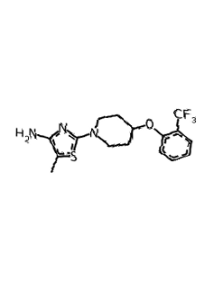 Cc1sc(N2CCC(Oc3ccccc3C(F)(F)F)CC2)nc1N